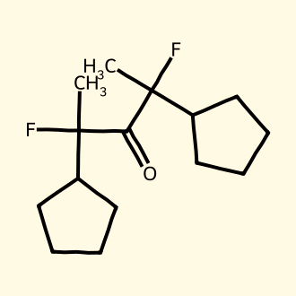 CC(F)(C(=O)C(C)(F)C1CCCC1)C1CCCC1